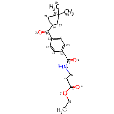 CCOC(=O)CCNC(=O)c1ccc(C(=O)C2CC(C)(C)C2)cc1